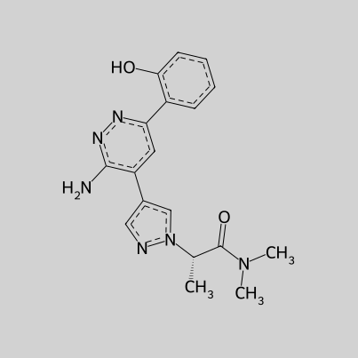 C[C@@H](C(=O)N(C)C)n1cc(-c2cc(-c3ccccc3O)nnc2N)cn1